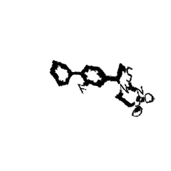 O=S1(=O)CCN2C(c3ccc(-c4ccccc4)c(F)c3)=CSC2=N1